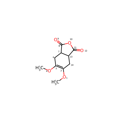 COC1=C(OC)CC2C(=O)OC(=O)C2C1